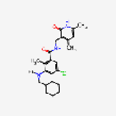 CCN(CC1CCCCC1)c1cc(Cl)cc(C(=O)NCc2c(C)cc(C)[nH]c2=O)c1C